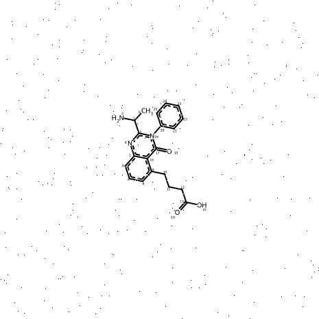 CC(N)c1nc2cccc(CCCC(=O)O)c2c(=O)n1-c1ccccc1